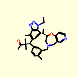 CC[C@@H]1CN(Cc2cc([C@H](c3ccc4c(nnn4CC)c3C)C(C)(C)C(C)=O)ccc2C)Cc2cnccc2O1